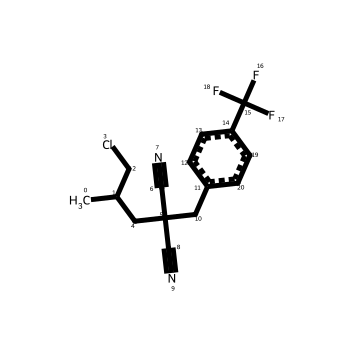 CC(CCl)CC(C#N)(C#N)Cc1ccc(C(F)(F)F)cc1